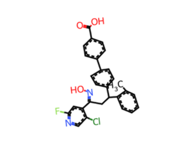 Cc1ccccc1C(CC(=NO)c1cc(F)ncc1Cl)c1ccc(-c2ccc(C(=O)O)cc2)cc1